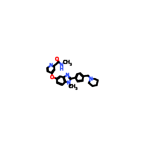 CNC(=O)c1cc(Oc2ccc3c(c2)nc(-c2ccc(CN4CCCCC4)cc2)n3C)ccn1